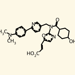 CN(C)c1ccc(-c2ccc(CN(C(=O)C3CCC(O)CC3)c3ncc(C=CC(=O)O)o3)cn2)cc1